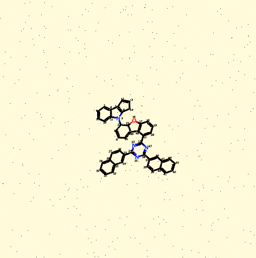 C1=CC(n2c3c(c4ccccc42)C=CC3)C2Oc3cccc(-c4nc(-c5ccc6ccccc6c5)nc(-c5ccc6ccccc6c5)n4)c3C2=C1